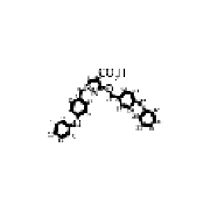 O=C(O)c1cn(Cc2ccc(Oc3ccccc3)cc2)nc1OCc1ccc(Oc2ccccc2)cc1